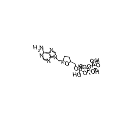 CP(O)(O)(OP(=O)(O)O)OP(=O)(O)OCC1CC[C@H](Cn2cnc3c(N)ncnc32)O1